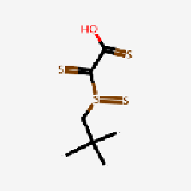 [CH2]C([CH2])([CH2])CS(=S)C(=S)C(O)=S